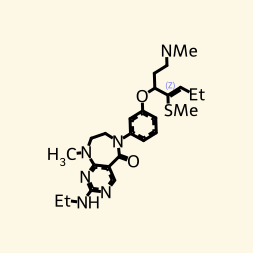 CC/C=C(\SC)C(CCNC)Oc1cccc(N2CCN(C)c3nc(NCC)ncc3C2=O)c1